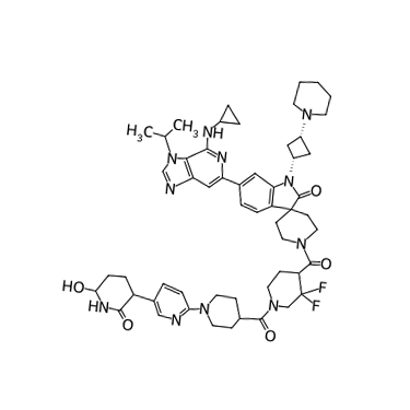 CC(C)n1cnc2cc(-c3ccc4c(c3)N([C@H]3C[C@@H](N5CCCCC5)C3)C(=O)C43CCN(C(=O)C4CCN(C(=O)C5CCN(c6ccc(C7CCC(O)NC7=O)cn6)CC5)CC4(F)F)CC3)nc(NC3CC3)c21